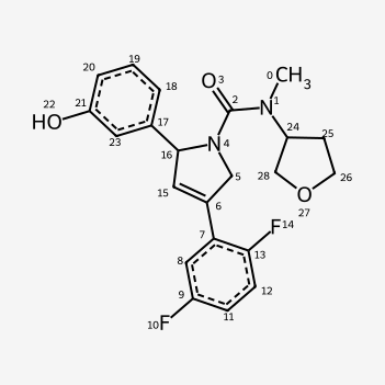 CN(C(=O)N1CC(c2cc(F)ccc2F)=CC1c1cccc(O)c1)C1CCOC1